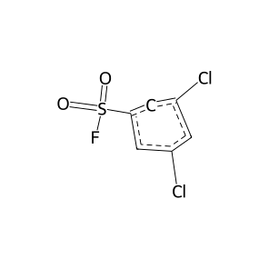 O=S(=O)(F)c1cc(Cl)cc(Cl)c1